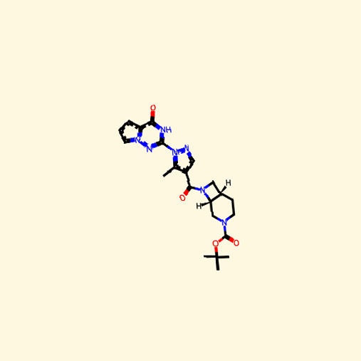 Cc1c(C(=O)N2C[C@@H]3CCN(C(=O)OC(C)(C)C)C[C@@H]32)cnn1-c1nn2cccc2c(=O)[nH]1